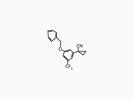 N#CC1(c2cc(OCc3ccccc3)cc(C(F)(F)F)c2)CC1